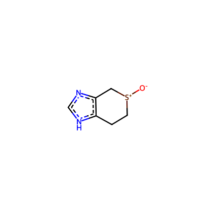 [O-][S+]1CCc2[nH]cnc2C1